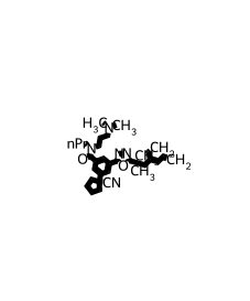 C=C/C=C(\C=C)CC(C)(C)c1nnc(-c2cc(C(=O)N(CCC)CCCN(C)C)cc(C3(C#N)CCCC3)c2)o1